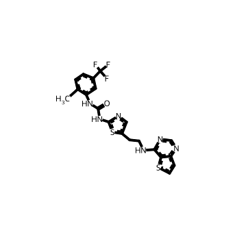 Cc1ccc(C(F)(F)F)cc1NC(=O)Nc1ncc(CCNc2ncnc3ccsc23)s1